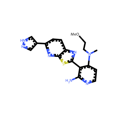 COCCN(C)c1ccnc(N)c1-c1nc2ccc(-c3cn[nH]c3)nc2s1